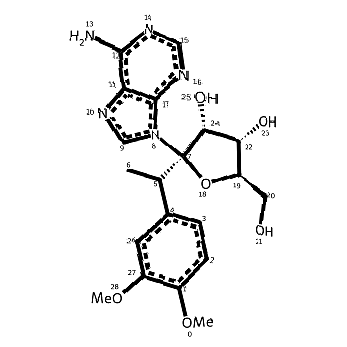 COc1ccc(C(C)[C@@]2(n3cnc4c(N)ncnc43)O[C@H](CO)[C@@H](O)[C@H]2O)cc1OC